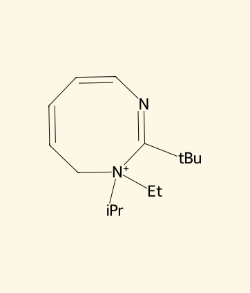 CC[N+]1(C(C)C)C\C=C/C=C\N=C/1C(C)(C)C